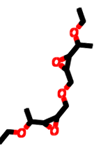 CCOC(C)C1OC1COCC1OC1C(C)OCC